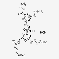 CCCCCCCCCCCCCC(=O)OCC(COP(=O)(O)OCC(COC(=O)CCN)OC(=O)CCN)OC(=O)CCCCCCCCCCCCC.Cl